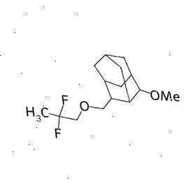 COC1C2CC3CC(C2)C(COCC(C)(F)F)C1C3